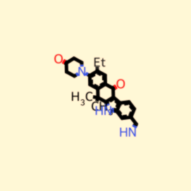 CCc1cc2c(cc1N1CCC(=O)CC1)C(C)(C)c1[nH]c3cc(C=N)ccc3c1C2=O